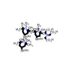 CC(=O)NC1CC(C)(C)N(C)C(C)(C)C1.CC(=O)NC1CC(C)(C)N(C)C(C)(C)C1.CC(=O)NC1CC(C)(C)N(C)C(C)(C)C1.O=C(O)CN(CC(=O)O)CC(=O)O